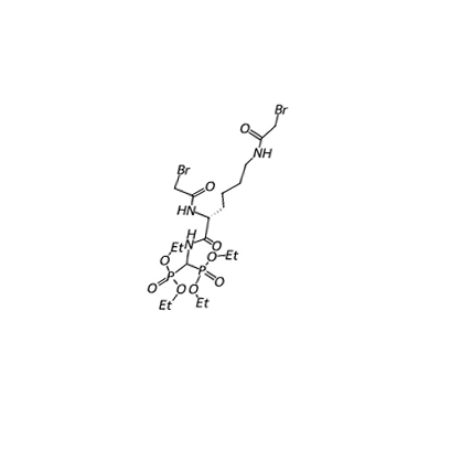 CCOP(=O)(OCC)C(NC(=O)[C@@H](CCCCNC(=O)CBr)NC(=O)CBr)P(=O)(OCC)OCC